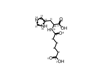 O=C(O)CCCCC(=O)NC(Cc1cnc[nH]1)C(=O)O